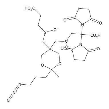 CC1(CCCN=[N+]=[N-])OCC(C[S+]([O-])CCC(=O)O)(C[S+]([O-])CC(C(=O)O)(N2C(=O)CCC2=O)N2C(=O)CCC2=O)CO1